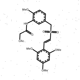 COc1cc(OC)c(C=CS(=O)(=O)Cc2ccc(OC)c(NC(=O)COC(C)=O)c2)c(OC)c1